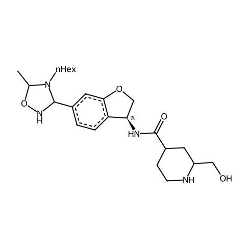 CCCCCCN1C(C)ONC1c1ccc2c(c1)OC[C@H]2NC(=O)C1CCNC(CO)C1